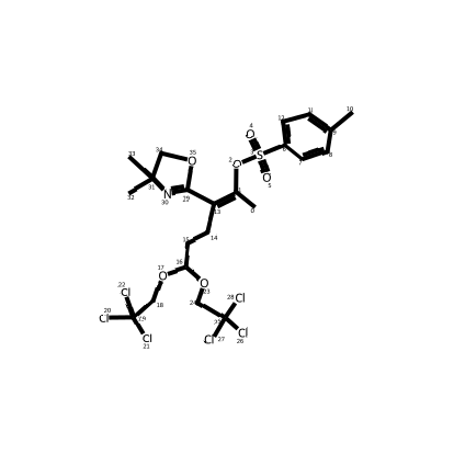 C/C(OS(=O)(=O)c1ccc(C)cc1)=C(\CCC(OCC(Cl)(Cl)Cl)OCC(Cl)(Cl)Cl)C1=NC(C)(C)CO1